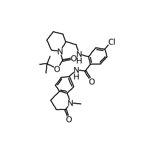 CN1C(=O)CCc2ccc(NC(=O)c3ccc(Cl)cc3NCC3CCCCN3C(=O)OC(C)(C)C)cc21